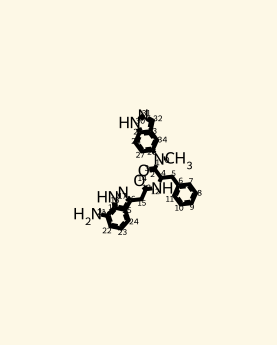 CN(C(=O)C(Cc1ccccc1)NC(=O)Cc1n[nH]c2c(N)cccc12)c1ccc2[nH]ncc2c1